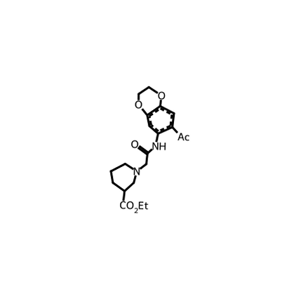 CCOC(=O)C1CCCN(CC(=O)Nc2cc3c(cc2C(C)=O)OCCO3)C1